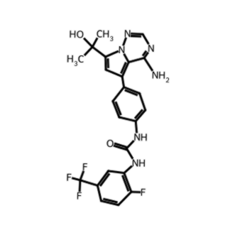 CC(C)(O)c1cc(-c2ccc(NC(=O)Nc3cc(C(F)(F)F)ccc3F)cc2)c2c(N)ncnn12